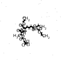 C=CCOC(=O)N[C@@H](C=C)OC(=O)CCCC1=C(C(=O)OCC=C)N2C(=O)[C@H](C(C)OC(=O)OCC(Cl)(Cl)Cl)[C@H]2S1